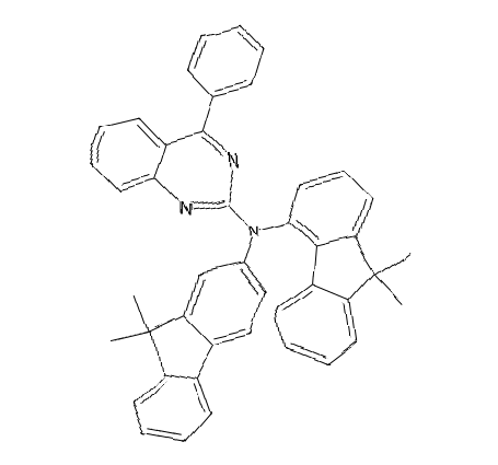 CC1(C)c2ccccc2-c2ccc(N(c3nc(-c4ccccc4)c4ccccc4n3)c3cccc4c3-c3ccccc3C4(C)C)cc21